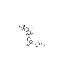 CCS(=O)(=O)c1ccc([C@H](CCO)NC(=O)c2ccc3c(c2)CN(C[C@H]2CC[C@H](C(F)(F)F)CC2)C3C(C)C)cc1